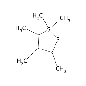 CC1S[Si](C)(C)C(C)C1C